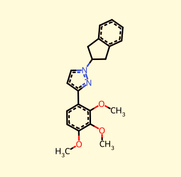 COc1ccc(-c2ccn(C3Cc4ccccc4C3)n2)c(OC)c1OC